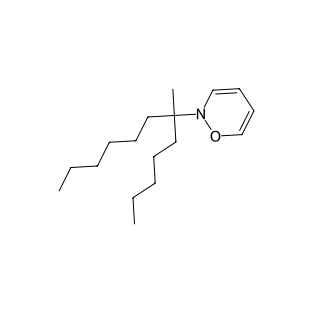 CCCCCCC(C)(CCCCC)N1C=CC=CO1